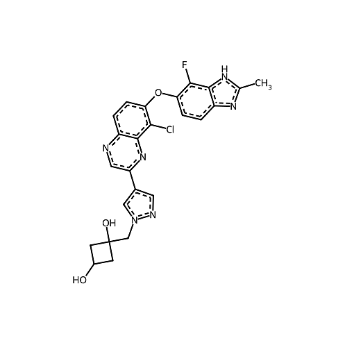 Cc1nc2ccc(Oc3ccc4ncc(-c5cnn(CC6(O)CC(O)C6)c5)nc4c3Cl)c(F)c2[nH]1